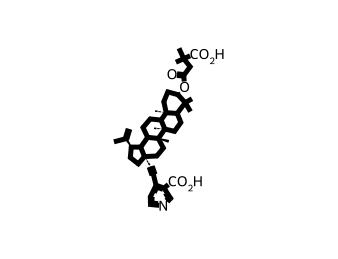 C=C(C)[C@@H]1CC[C@]2(C#Cc3ccncc3C(=O)O)CC[C@]3(C)C(CCC4[C@@]5(C)CC[C@H](OC(=O)CC(C)(C)C(=O)O)C(C)(C)C5CC[C@]43C)C12